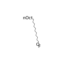 CCCCCCCCCCCCCCCCCCCOF